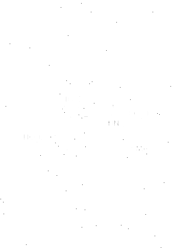 CSCC[C@H](NC(=O)CC[C@H](NC(=O)CC[C@H](N)C(=O)O)C(=O)O)C(=O)O